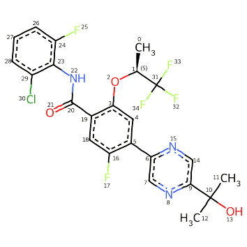 C[C@H](Oc1cc(-c2cnc(C(C)(C)O)cn2)c(F)cc1C(=O)Nc1c(F)cccc1Cl)C(F)(F)F